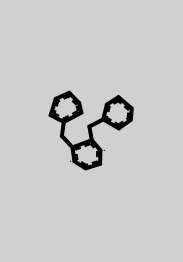 [c]1cc[c]c(Cc2ccccc2)c1Cc1ccccc1